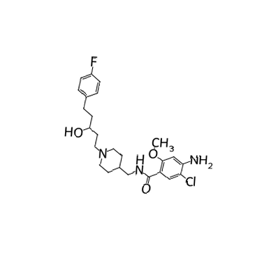 COc1cc(N)c(Cl)cc1C(=O)NCC1CCN(CCC(O)CCc2ccc(F)cc2)CC1